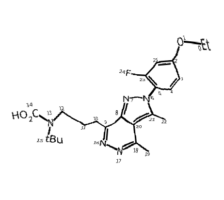 CCOc1ccc(-n2nc3c(CCCN(C(=O)O)C(C)(C)C)nnc(C)c3c2C)c(F)c1